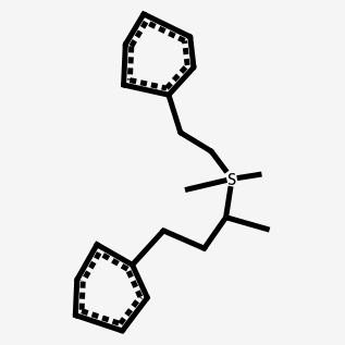 CC(CCc1ccccc1)S(C)(C)CCc1ccccc1